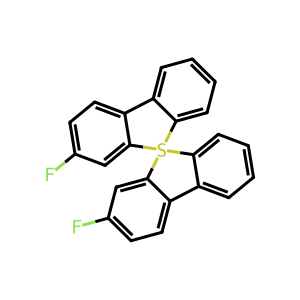 Fc1ccc2c(c1)S1(c3ccccc3-2)c2ccccc2-c2ccc(F)cc21